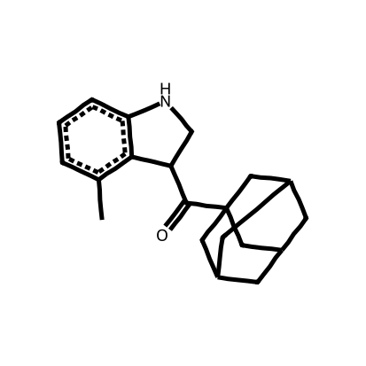 Cc1cccc2c1C(C(=O)C13CC4CC(CC(C4)C1)C3)CN2